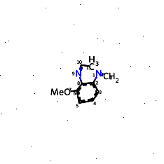 C=Nc1cccc(OC)c1/N=C\C